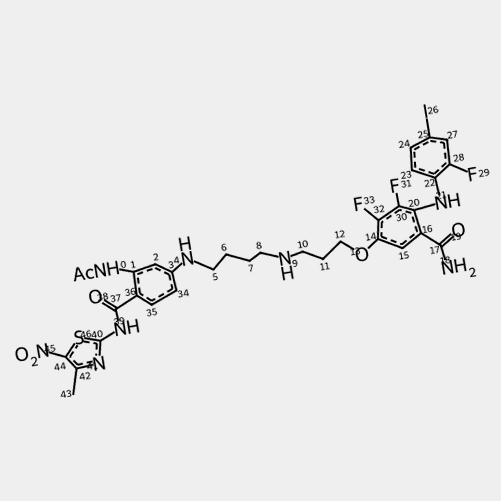 CC(=O)Nc1cc(NCCCCNCCCOc2cc(C(N)=O)c(Nc3ccc(I)cc3F)c(F)c2F)ccc1C(=O)Nc1nc(C)c([N+](=O)[O-])s1